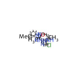 COC1CCCC(n2nc3c(c2C)Nc2ncc(Cl)c(n2)NC(C)CCO3)C1